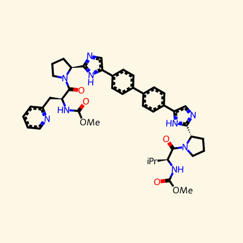 COC(=O)N[C@@H](Cc1ccccn1)C(=O)N1CCC[C@H]1c1ncc(-c2ccc(-c3ccc(-c4cnc([C@@H]5CCCN5C(=O)[C@@H](NC(=O)OC)C(C)C)[nH]4)cc3)cc2)[nH]1